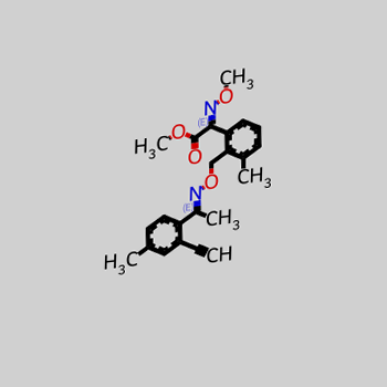 C#Cc1cc(C)ccc1/C(C)=N/OCc1c(C)cccc1/C(=N\OC)C(=O)OC